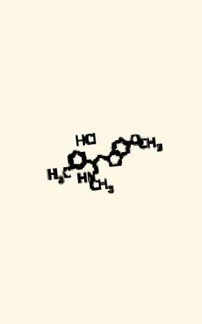 CNCC(CC1CCc2cc(OC)ccc21)c1cccc(C)c1.Cl